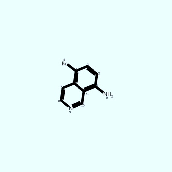 Nc1ccc(Br)c2ccncc12